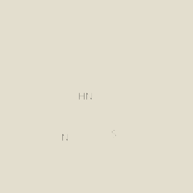 CC(C)=CNc1nccs1